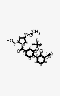 CO/N=C1/C[C@@H](CO)N(C(=O)c2ccc(-c3cccc(C#N)c3C)c(OC(F)(F)F)c2)C1